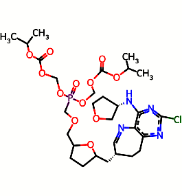 CC(C)OC(=O)OCOP(=O)(COCC1CCC(C[C@@H]2C=Nc3c(nc(Cl)nc3N[C@H]3CCOC3)CC2)O1)OCOC(=O)OC(C)C